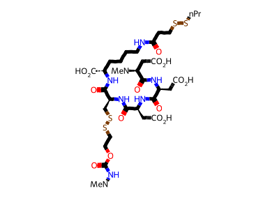 CCCSSCCC(=O)NCCCC[C@H](NC(=O)[C@H](CSSCCOC(=O)NNC)NC(=O)[C@H](CC(=O)O)NC(=O)[C@H](CC(=O)O)NC(=O)[C@H](CC(=O)O)NC)C(=O)O